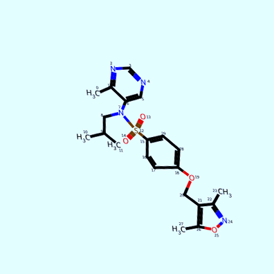 Cc1ncncc1N(CC(C)C)S(=O)(=O)c1ccc(OCc2c(C)noc2C)cc1